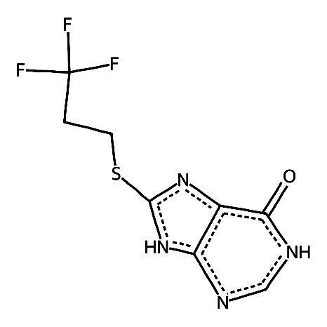 O=c1[nH]cnc2[nH]c(SCCC(F)(F)F)nc12